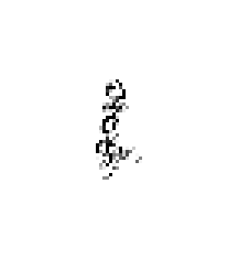 CC(C)(C)OC(=O)[C@H](ON)[C@H]1OCCN(c2ccc(S(=O)(=O)N3CCOCC3)cc2)C1=O